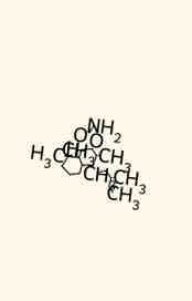 CC[C@@H](C)CC[C@H]1[C@@H](C)C(OC(N)=O)C[C@H]2C(C)(C)CCC[C@]12C